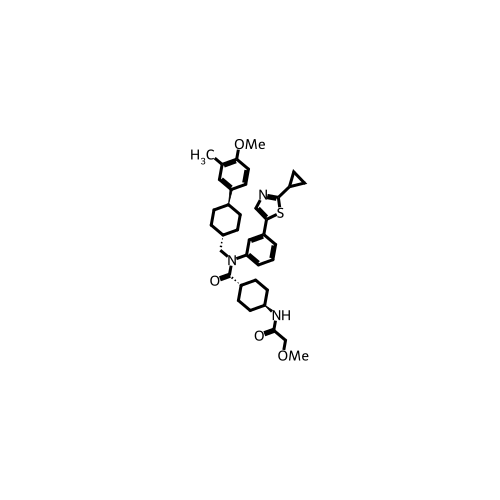 COCC(=O)N[C@H]1CC[C@H](C(=O)N(C[C@H]2CC[C@H](c3ccc(OC)c(C)c3)CC2)c2cccc(-c3cnc(C4CC4)s3)c2)CC1